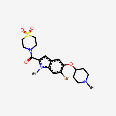 CC(C)N1CCC(Oc2cc3cc(C(=O)N4CCS(=O)(=O)CC4)n(C(C)C)c3cc2Br)CC1